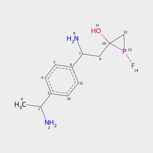 CC(N)c1ccc(C(N)CC2(O)CP2F)cc1